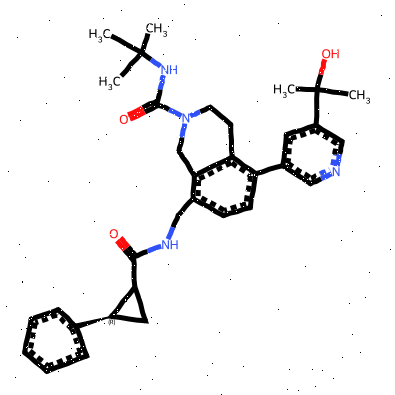 CC(C)(C)NC(=O)N1CCc2c(-c3cncc(C(C)(C)O)c3)ccc(CNC(=O)C3C[C@H]3c3ccccc3)c2C1